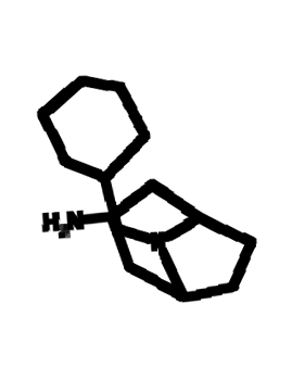 NC1CC2CCC(C1)N2CC1CCCCC1